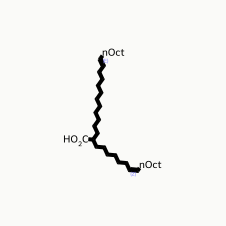 CCCCCCCC/C=C\CCCCCCC(CCCCCCCCCC/C=C/CCCCCCCC)C(=O)O